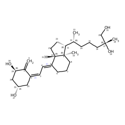 C=C1/C(=C\C=C2/CCC[C@]3(C)[C@@H]([C@H](C)CCC[C@@](C)(O)CO)CC[C@@H]23)C[C@H](O)C[C@H]1O